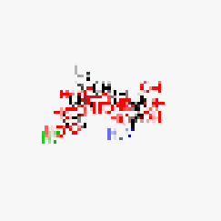 CC(=O)O.CC(=O)O.CC(=O)O.CC(=O)O.CC(=O)O.Cl.NC[C@H](O)[C@@H](O)[C@H](O)[C@H](O)CO